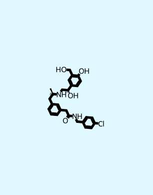 C[C@H](Cc1cccc(CC(=O)NCc2ccc(Cl)cc2)c1)NC[C@@H](O)c1ccc(O)c(CO)c1